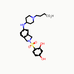 O=C(O)CCCN1CCC(Nc2ccc3c(c2)CN(S(=O)(=O)c2ccc(O)cc2O)C3)CC1